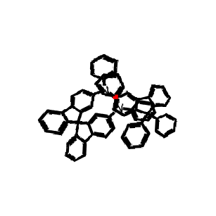 c1ccc(N(c2ccccc2)c2ccc3c(c2)C2(c4ccccc4-3)c3ccccc3-c3ccc(N(c4ccccc4)c4ccc5c(c4)-c4ccccc4C5(c4ccccc4)c4ccccc4)cc32)cc1